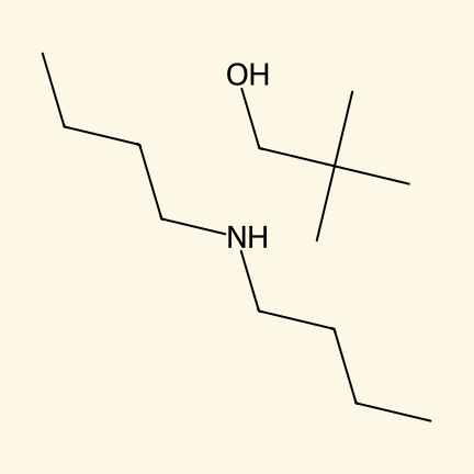 CC(C)(C)CO.CCCCNCCCC